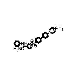 CN1CCN(c2ccc(-c3ccc(S(=O)(=O)N4CC=C(C(=O)Nc5ccccc5N)C4)cc3)cc2)CC1